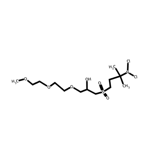 COCCOCCOCC(O)CS(=O)(=O)CCC(C)(C)N(Cl)Cl